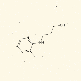 Cc1c[c]cnc1NCCCO